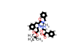 CN(Cc1ccccc1)C(=O)C(Cc1ccccc1)N(CCC(=O)OC(C)(C)C)NCC[C@H](C(=O)O)c1ccccc1